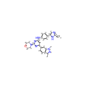 Cc1nn(C)c2cc(-c3cc(Nc4ccc(-c5cnc(C(F)(F)F)[nH]5)cc4)nc(N4CCOCC4)n3)ccc12